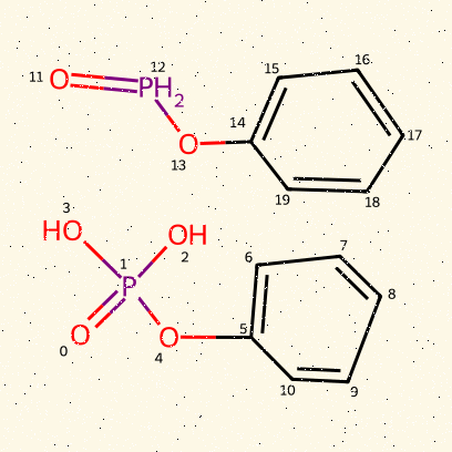 O=P(O)(O)Oc1ccccc1.O=[PH2]Oc1ccccc1